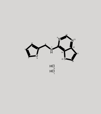 Cl.Cl.c1coc(CNc2ncnc3ccsc23)c1